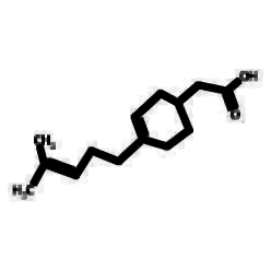 CC(C)=CCCC1=CCC(CC(=O)O)CC1